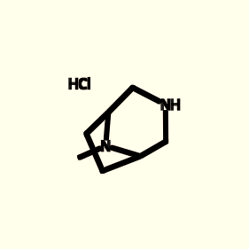 CN1C2CCC1CNC2.Cl